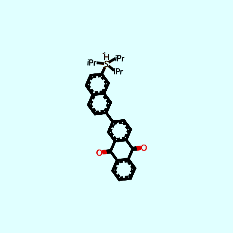 CC(C)[SH](C)(c1ccc2ccc(-c3ccc4c(c3)C(=O)c3ccccc3C4=O)cc2c1)(C(C)C)C(C)C